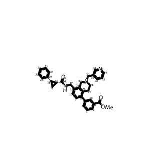 COC(=O)c1cccc(-c2ccc(CNC(=O)[C@@H]3C[C@@H]3c3ccccc3)c3c2CCN(Cc2cccnc2)C3)c1